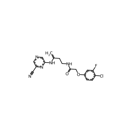 C=C(CCNC(=O)COc1ccc(Cl)c(F)c1)Nc1cncc(C#N)n1